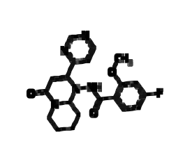 COc1cc(F)ccc1C(=O)NN1C(c2ccncn2)=CC(=O)N2CCCCC21